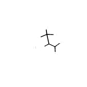 CCC(C)(C)C(C(=O)O)C(C(C)=O)C(C)C